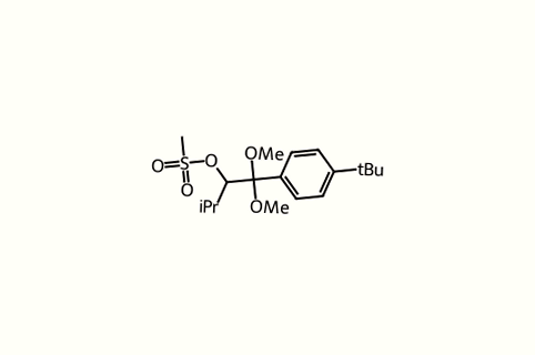 COC(OC)(c1ccc(C(C)(C)C)cc1)C(OS(C)(=O)=O)C(C)C